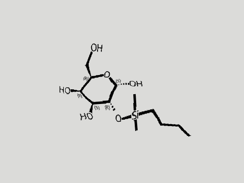 CCCC[Si](C)(C)O[C@@H]1[C@@H](O)[C@@H](O)[C@@H](CO)O[C@@H]1O